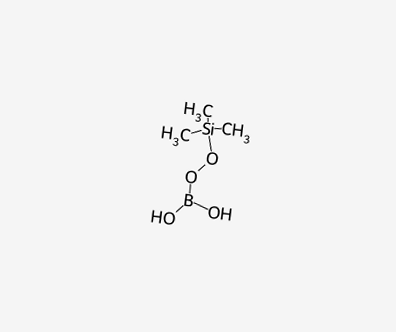 C[Si](C)(C)OOB(O)O